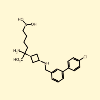 NC(CCCCB(O)O)(C(=O)O)[C@H]1C[C@@H](NCc2cccc(-c3ccc(Cl)cc3)c2)C1